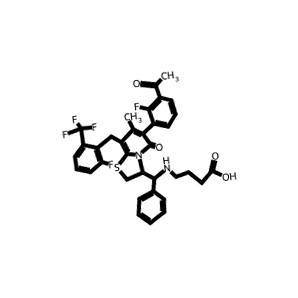 CC(=O)c1cccc(-c2c(C)c(Cc3c(F)cccc3C(F)(F)F)c3n(c2=O)C(C(NCCCC(=O)O)c2ccccc2)CS3)c1F